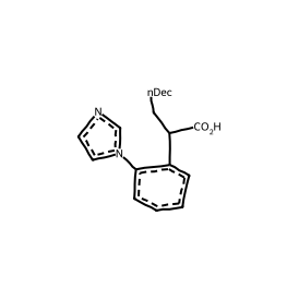 CCCCCCCCCCCC(C(=O)O)c1ccccc1-n1ccnc1